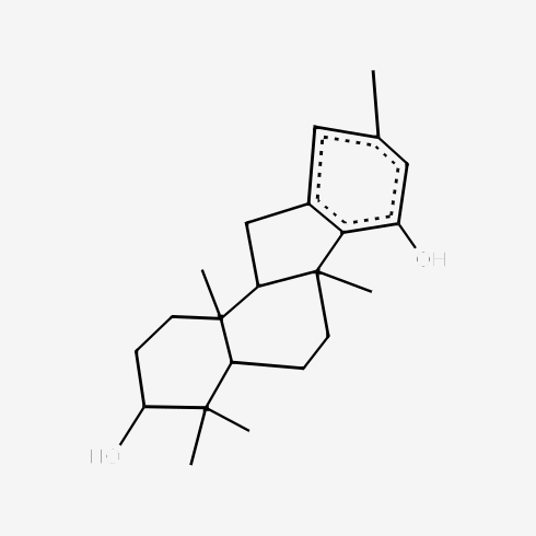 Cc1cc(O)c2c(c1)CC1C2(C)CCC2C(C)(C)C(O)CCC12C